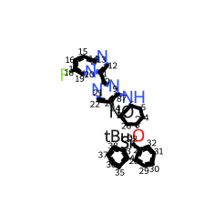 CC(C)(C)[Si](O[C@H]1CC[C@H](Nc2nc(-c3cnc4ccc(F)cn34)ncc2[N+](=O)[O-])CC1)(c1ccccc1)c1ccccc1